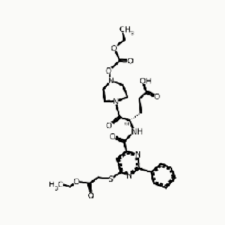 CCOC(=O)CSc1cc(C(=O)N[C@@H](CCC(=O)O)C(=O)N2CCN(OC(=O)OCC)CC2)nc(-c2ccccc2)n1